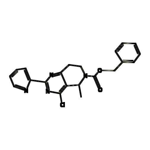 CC1c2c(Cl)nc(-c3ccccn3)nc2CCN1C(=O)OCc1ccccc1